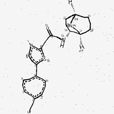 Cc1ccc(-c2cnc(C(=O)N[C@@H]3C[C@H]4CC[C@@H]3N4)s2)cc1